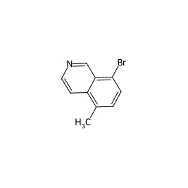 Cc1ccc(Br)c2cnccc12